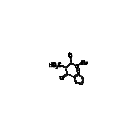 CCC(C)OC(=O)C(C(=O)O)C(=O)c1ccc[nH]1